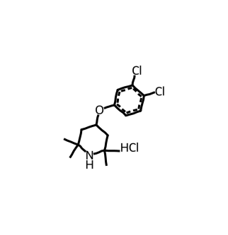 CC1(C)CC(Oc2ccc(Cl)c(Cl)c2)CC(C)(C)N1.Cl